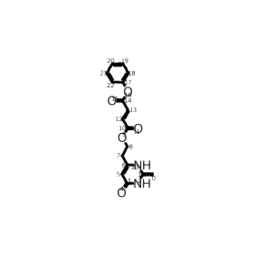 C=C1NC(=O)C=C(CCOC(=O)/C=C/C(=O)Oc2ccccc2)N1